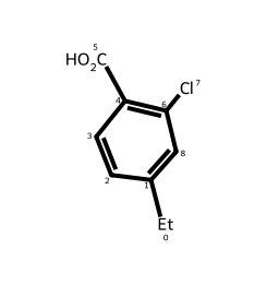 CCc1ccc(C(=O)O)c(Cl)c1